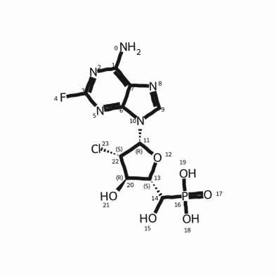 Nc1nc(F)nc2c1ncn2[C@@H]1O[C@H](C(O)P(=O)(O)O)[C@@H](O)[C@@H]1Cl